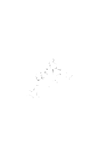 CCOC(=O)c1c(S[C@H](Cl)CF)nc2cc(F)c(F)cc2c1OC(=O)[C@H](C)NC(=O)OCc1ccccc1